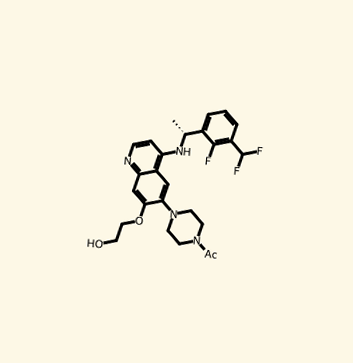 CC(=O)N1CCN(c2cc3c(N[C@H](C)c4cccc(C(F)F)c4F)ccnc3cc2OCCO)CC1